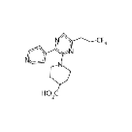 O=C(O)C1CCN(c2nc(CCC(F)(F)F)cnc2-c2ccncc2)CC1